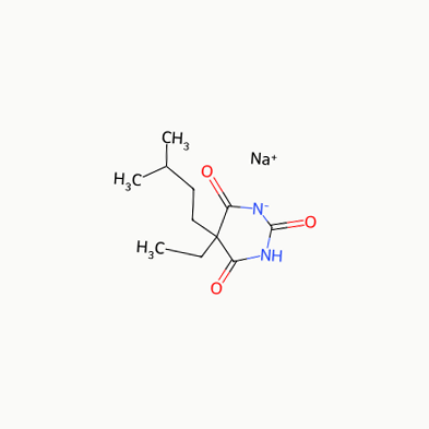 CCC1(CCC(C)C)C(=O)[N-]C(=O)NC1=O.[Na+]